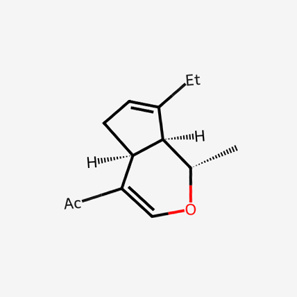 CCC1=CC[C@@H]2C(C(C)=O)=CO[C@@H](C)[C@H]12